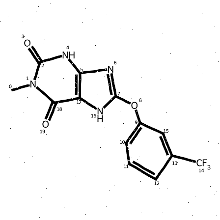 Cn1c(=O)[nH]c2nc(Oc3cccc(C(F)(F)F)c3)[nH]c2c1=O